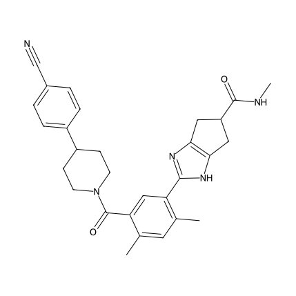 CNC(=O)C1Cc2nc(-c3cc(C(=O)N4CCC(c5ccc(C#N)cc5)CC4)c(C)cc3C)[nH]c2C1